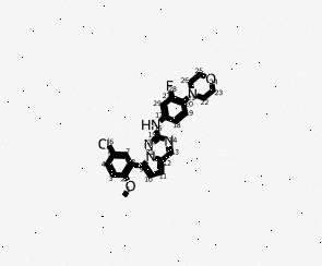 COc1ccc(Cl)cc1-c1ccc2cnc(Nc3ccc(N4CCOCC4)c(F)c3)nn12